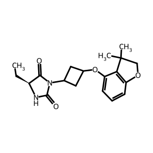 CC[C@@H]1NC(=O)N(C2CC(Oc3cccc4c3C(C)(C)CO4)C2)C1=O